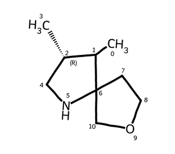 CC1[C@@H](C)CNC12CCOC2